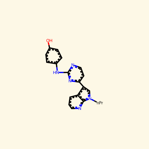 CCCn1cc(-c2ccnc(Nc3ccc(O)cc3)n2)c2cccnc21